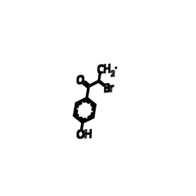 [CH2]C(Br)C(=O)c1ccc(O)cc1